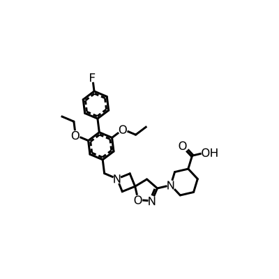 CCOc1cc(CN2CC3(CC(N4CCCC(C(=O)O)C4)=NO3)C2)cc(OCC)c1-c1ccc(F)cc1